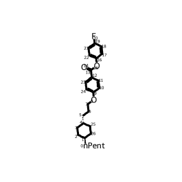 CCCCC[C@H]1CC[C@H](CCCOc2ccc(C(=O)Oc3ccc(F)cc3)cc2)CC1